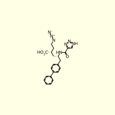 [N-]=[N+]=NCC[C@H](C[C@@H](Cc1ccc(-c2ccccc2)cc1)NC(=O)c1c[nH]nn1)C(=O)O